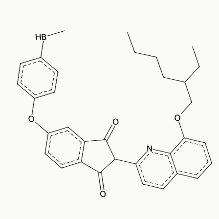 CBc1ccc(Oc2ccc3c(c2)C(=O)C(c2ccc4cccc(OCC(CC)CCCC)c4n2)C3=O)cc1